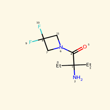 CCC(N)(CC)C(=O)N1CC(F)(F)C1